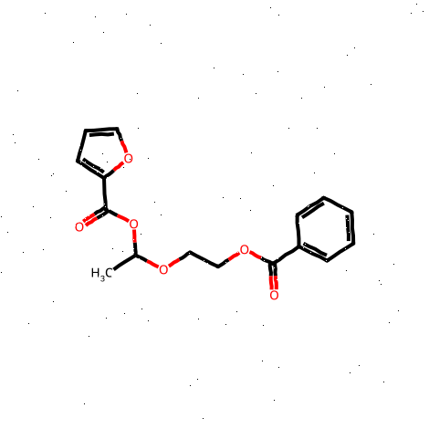 CC(OCCOC(=O)c1ccccc1)OC(=O)c1ccco1